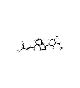 NC(=O)/C=C/Nc1ncnc2c1ncn2[C@H]1C[C@H](O)[C@@H](CO)O1